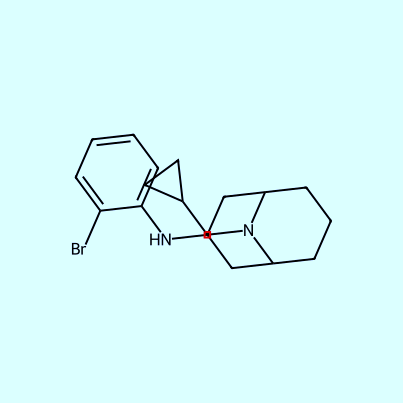 Brc1ccccc1NC1CC2CCCC(C1)N2CC1CC1